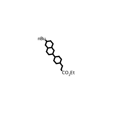 CCCCC1CCC2CC(C3CCC(CCC(=O)OCC)CC3)CCC2C1